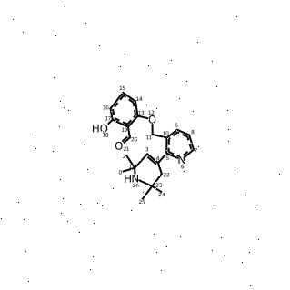 CC1(C)C=C(c2ncccc2COc2cccc(O)c2C=O)CC(C)(C)N1